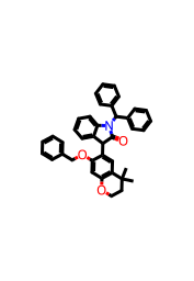 CC1(C)CCOc2cc(OCc3ccccc3)c(C3C(=O)N(C(c4ccccc4)c4ccccc4)c4ccccc43)cc21